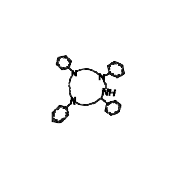 c1ccc(C2CCCN(c3ccccc3)CCCN(c3ccccc3)CCCN(c3ccccc3)CN2)cc1